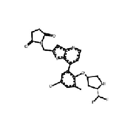 Cc1cc(Cl)cc(-c2ccnc3cc(CN4C(=O)CCC4=O)sc23)c1O[C@H]1CN[C@H](C(F)F)C1